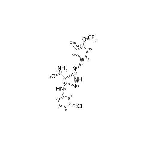 NC(=O)c1c(Nc2cccc(Cl)c2)n[nH]c1/N=C/c1ccc(OC(F)(F)F)c(F)c1